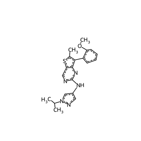 COc1ccccc1-c1c(C)sc2cnc(Nc3cnn(C(C)C)c3)nc12